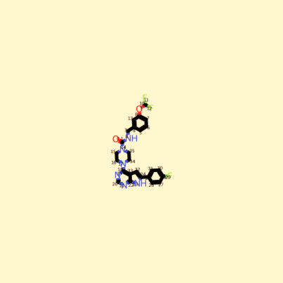 O=C(NCc1cccc(OC(F)F)c1)N1CCN(c2ncnc3[nH]c(-c4ccc(F)cc4)cc23)CC1